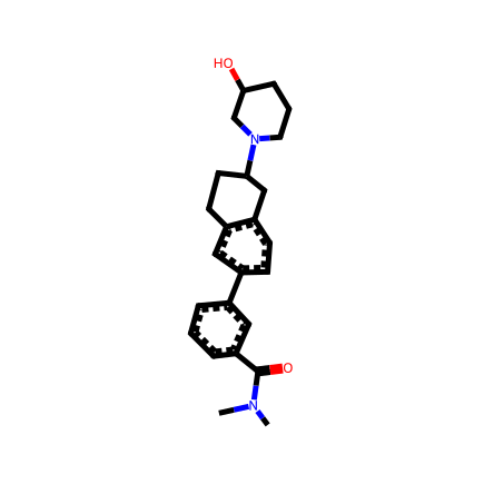 CN(C)C(=O)c1cccc(-c2ccc3c(c2)CCC(N2CCCC(O)C2)C3)c1